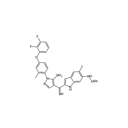 CSNc1cc2[nH]c(C(=N)c3cnn(-c4ccc(Oc5cccc(F)c5F)cc4C)c3N)cc2cc1I